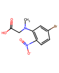 CN(CC(=O)O)c1cc(Br)ccc1[N+](=O)[O-]